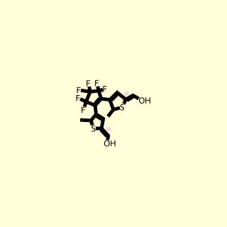 CC1S/C(=C\O)C=C1C1=C(C2=C/C(=C/O)SC2C)C(F)(F)C(F)(F)C1(F)F